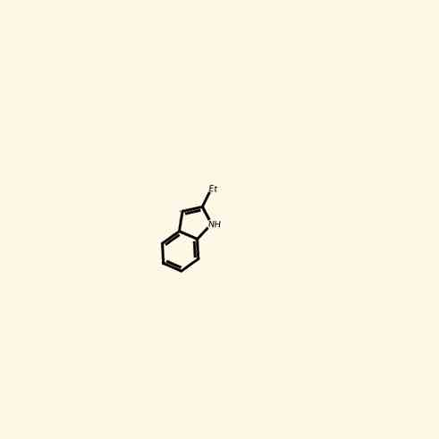 CCc1[c]c2ccccc2[nH]1